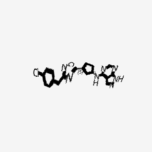 Clc1ccc(Cc2noc([C@H]3CC[C@H](Nc4ncnc5[nH]ncc45)C3)n2)cc1